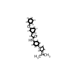 CN(C)C1CCN(c2ccc(NC(=O)Cc3cccc(Oc4ccccc4)c3)cc2)C1